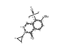 CC(C)(C)c1ccc2c(=O)n(C3CC3)ncc2c1P(C)(C)=O